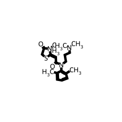 Cc1cccc(C)c1N(CCCN(C)C)C(=O)C=C1SCC(=O)N1C